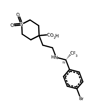 O=C(O)C1(CCN[C@@H](c2ccc(Br)cc2)C(F)(F)F)CCS(=O)(=O)CC1